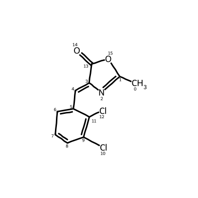 CC1=NC(=Cc2cccc(Cl)c2Cl)C(=O)O1